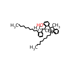 CCCCCCCCCCc1ccccc1C(C)C(C)c1cccc(O)c1C(C)C(C)c1ccccc1CCCCCCCCCC